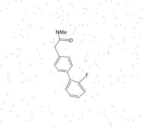 CNC(=O)Cc1ccc(-c2ccccc2F)cc1